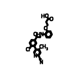 Cc1cc(C#N)ncc1-c1cc(C(=O)CNc2ccccc2OCCC(=O)O)ccc1Cl